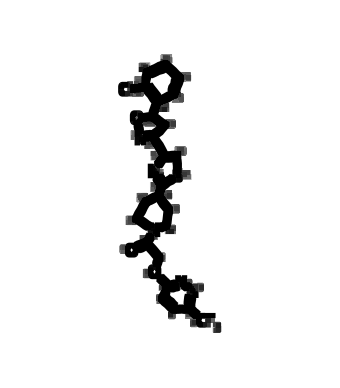 O=C(COc1ccc(C(F)(F)F)nn1)N1CCC(c2nc(C3=NOC(c4[c]cccc4Cl)C3)cs2)CC1